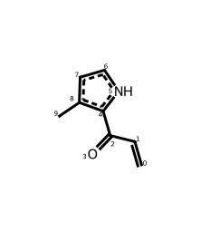 C=CC(=O)c1[nH]ccc1C